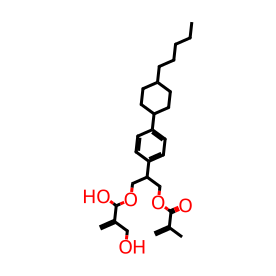 C=C(C)C(=O)OCC(COC(O)C(=C)CO)c1ccc(C2CCC(CCCCC)CC2)cc1